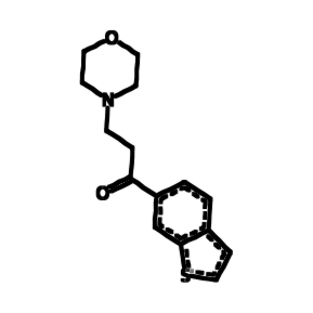 O=C(CCN1CCOCC1)c1ccc2ccsc2c1